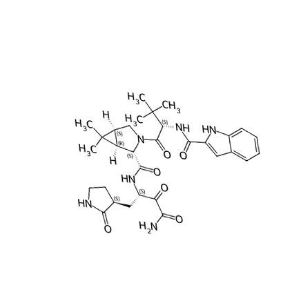 CC(C)(C)[C@H](NC(=O)c1cc2ccccc2[nH]1)C(=O)N1C[C@H]2[C@@H]([C@H]1C(=O)N[C@@H](C[C@@H]1CCNC1=O)C(=O)C(N)=O)C2(C)C